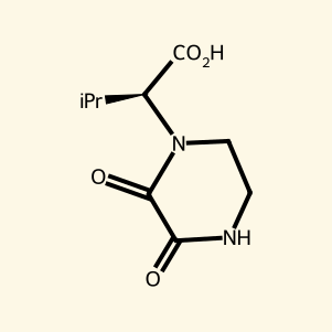 CC(C)[C@@H](C(=O)O)N1CCNC(=O)C1=O